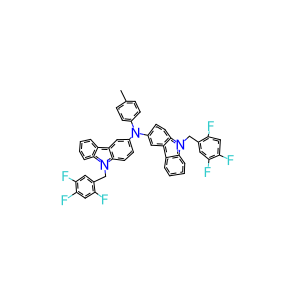 Cc1ccc(N(c2ccc3c(c2)c2ccccc2n3Cc2cc(F)c(F)cc2F)c2ccc3c(c2)c2ccccc2n3Cc2cc(F)c(F)cc2F)cc1